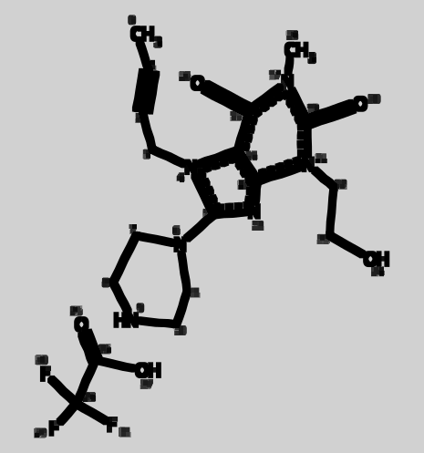 CC#CCn1c(N2CCNCC2)nc2c1c(=O)n(C)c(=O)n2CCO.O=C(O)C(F)(F)F